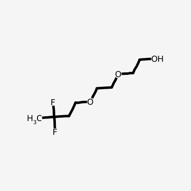 CC(F)(F)CCOCCOCCO